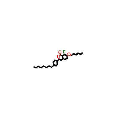 CCCCCCCCc1ccc(-c2cc3ccc(OCCCCCC)c(F)c3c(=O)o2)cc1